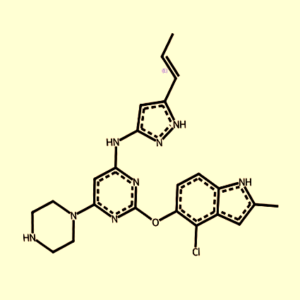 C/C=C/c1cc(Nc2cc(N3CCNCC3)nc(Oc3ccc4[nH]c(C)cc4c3Cl)n2)n[nH]1